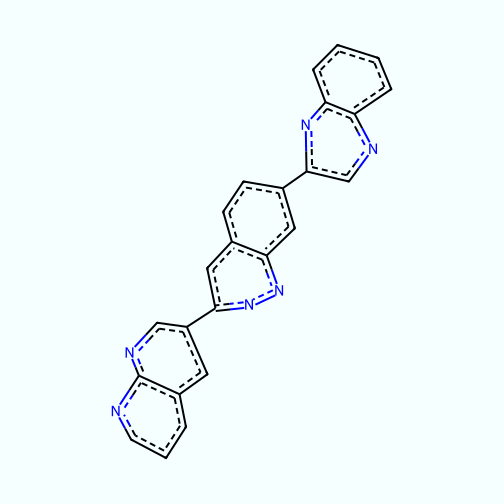 c1cnc2ncc(-c3cc4ccc(-c5cnc6ccccc6n5)cc4nn3)cc2c1